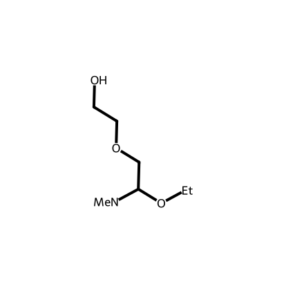 CCOC(COCCO)NC